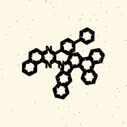 c1ccc(-c2ccc(-c3nc4ccc5ccccc5c4nc3-n3c4cc5ccccc5cc4c4c5c6ccccc6c6ccccc6c5ccc43)cc2)cc1